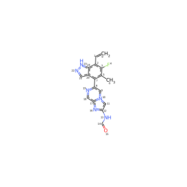 C=Cc1c(F)c(C)c(-c2cn3cc(NC=O)nc3cn2)c2cn[nH]c12